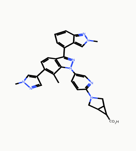 Cc1c(-c2cnn(C)c2)ccc2c(-c3cccc4nn(C)cc34)nn(-c3ccc(N4CC5C(C4)C5C(=O)O)nc3)c12